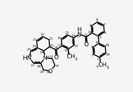 Cc1ccc(-c2ccccc2C(=O)Nc2ccc(C(=O)C3CC=CC4=CNC=C5COCCN5C43)c(C)c2)cc1